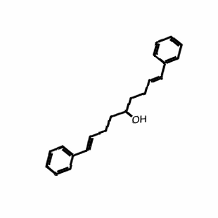 OC(CC/C=C/c1ccccc1)CC/C=C/c1ccccc1